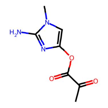 CC(=O)C(=O)Oc1cn(C)c(N)n1